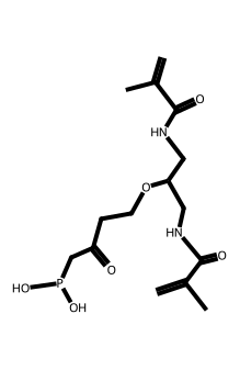 C=C(C)C(=O)NCC(CNC(=O)C(=C)C)OCCC(=O)CP(O)O